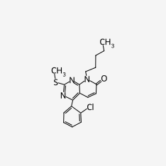 CCCCCn1c(=O)ccc2c(-c3ccccc3Cl)nc(SC)nc21